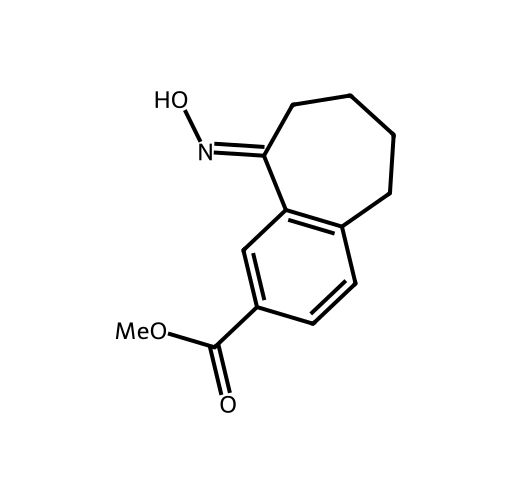 COC(=O)c1ccc2c(c1)/C(=N/O)CCCC2